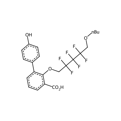 CCCCOCC(F)(F)C(F)(F)C(F)(F)COc1c(C(=O)O)cccc1-c1ccc(O)cc1